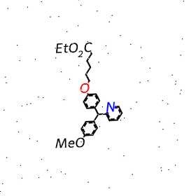 CCOC(=O)CCCCCOc1ccc(C(c2ccc(OC)cc2)c2ccccn2)cc1